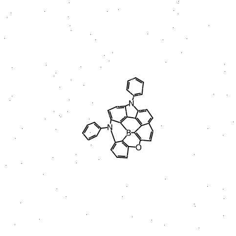 c1ccc(N2c3cccc4c3B3c5c(ccc6ccc7c(c56)c5c3c2ccc5n7-c2ccccc2)O4)cc1